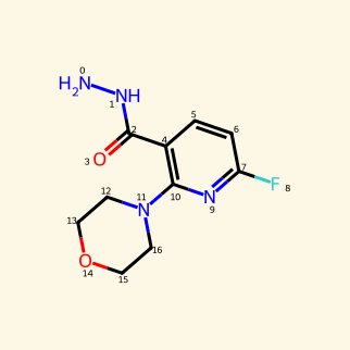 NNC(=O)c1ccc(F)nc1N1CCOCC1